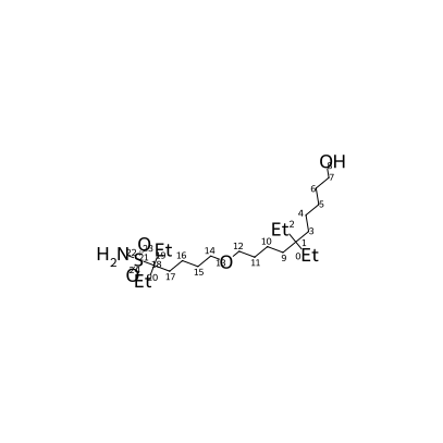 CCC(CC)(CCCCCO)CCCCOCCCCC(CC)(CC)S(N)(=O)=O